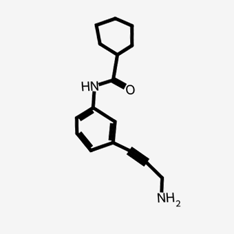 NCC#Cc1cccc(NC(=O)C2CCCCC2)c1